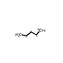 [CH]CCCC